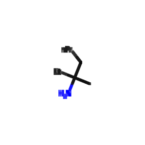 CCCCC(C)(N)CC